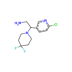 NCC(c1ccc(Cl)nc1)N1CCC(F)(F)CC1